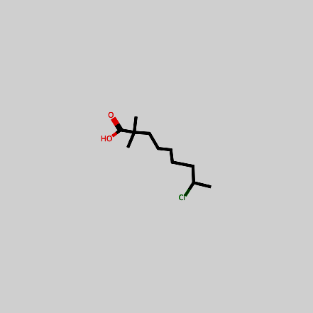 CC(Cl)CCCCCC(C)(C)C(=O)O